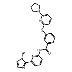 CC(C)n1cnnc1-c1cccc(NC(=O)c2cccc(Sc3cccc(N4CCCC4)n3)c2)n1